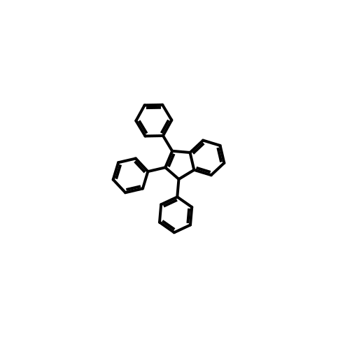 c1ccc(C2=C(c3ccccc3)C(c3ccccc3)c3ccccc32)cc1